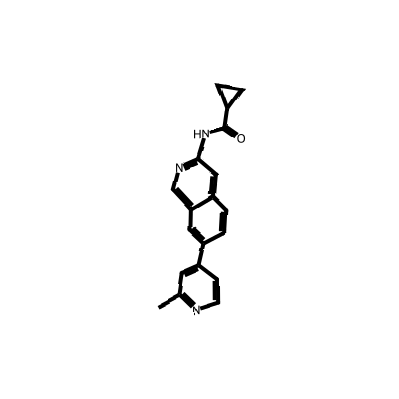 Cc1cc(-c2ccc3cc(NC(=O)C4CC4)ncc3c2)ccn1